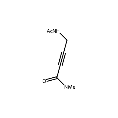 CNC(=O)C#CCNC(C)=O